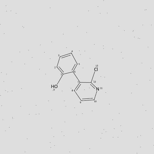 Oc1ccccc1-c1cccnc1Cl